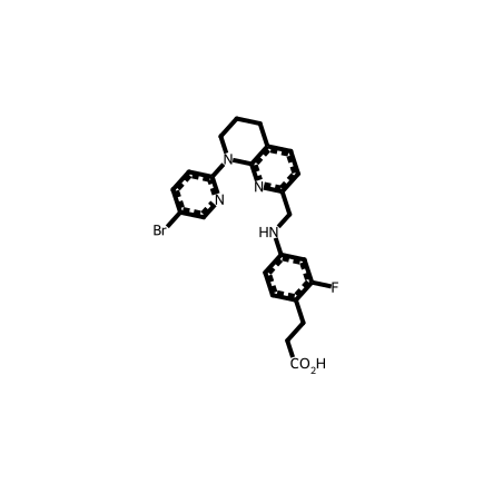 O=C(O)CCc1ccc(NCc2ccc3c(n2)N(c2ccc(Br)cn2)CCC3)cc1F